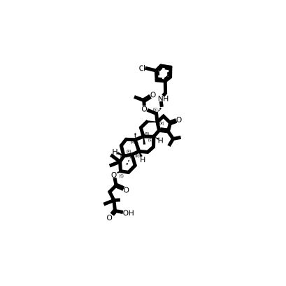 CC(=O)O[C@H](CNCc1cccc(Cl)c1)[C@@]12CC[C@]3(C)[C@H](CC[C@@H]4[C@@]5(C)CC[C@H](OC(=O)CC(C)(C)C(=O)O)C(C)(C)[C@@H]5CC[C@]43C)C1=C(C(C)C)C(=O)C2